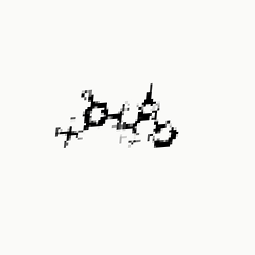 CC(NC(=O)c1cc(Cl)cc(OC(F)(F)F)c1)c1nc(I)nn1-c1ncccn1